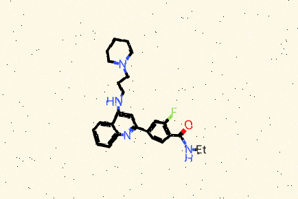 CCNC(=O)c1ccc(-c2cc(NCCCN3CCCCC3)c3ccccc3n2)cc1F